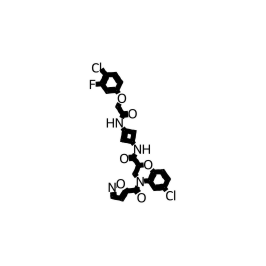 O=C(COc1ccc(Cl)c(F)c1)NC1=CC(NC(=O)C2CN(C(=O)c3ccno3)c3cc(Cl)ccc3O2)C1